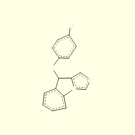 Cc1ccc(OC2c3ccccc3-n3cncc32)cc1